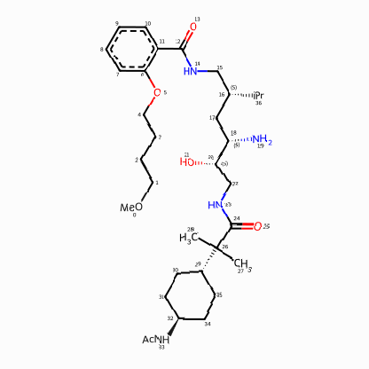 COCCCCOc1ccccc1C(=O)NC[C@@H](C[C@H](N)[C@@H](O)CNC(=O)C(C)(C)[C@H]1CC[C@H](NC(C)=O)CC1)C(C)C